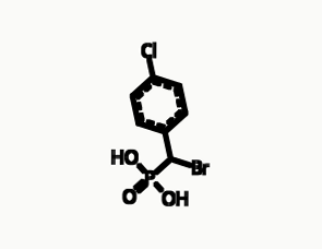 O=P(O)(O)C(Br)c1ccc(Cl)cc1